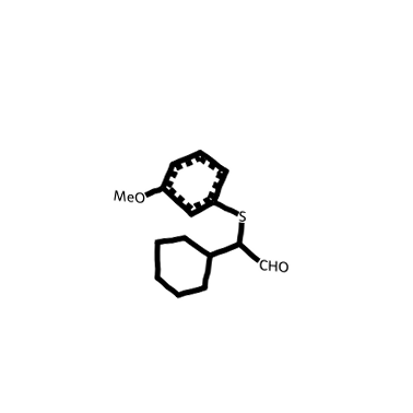 COc1cccc(SC(C=O)C2CCCCC2)c1